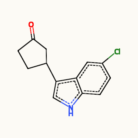 O=C1CCC(c2c[nH]c3ccc(Cl)cc23)C1